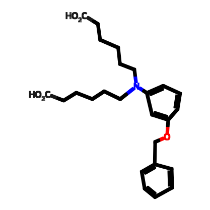 O=C(O)CCCCCN(CCCCCC(=O)O)c1cccc(OCc2ccccc2)c1